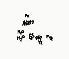 O.O.O.[Fe].[Fe].[NaH].[NaH]